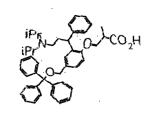 CC(C)N(CCC(c1ccccc1)c1cc(COC(c2ccccc2)(c2ccccc2)c2ccccc2)ccc1OC[C@@H](C)C(=O)O)C(C)C